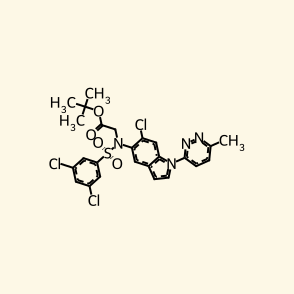 Cc1ccc(-n2ccc3cc(N(CC(=O)OC(C)(C)C)S(=O)(=O)c4cc(Cl)cc(Cl)c4)c(Cl)cc32)nn1